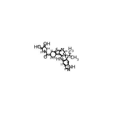 CC(C)Oc1cc2[nH]ncc2cc1Nc1ncnc2sc3c(c12)CC[C@H](C(=O)N1C[C@@H](O)[C@H](O)C1)C3